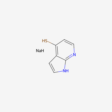 Sc1ccnc2[nH]ccc12.[NaH]